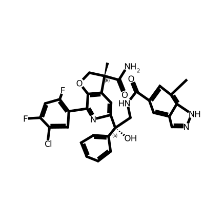 Cc1cc(C(=O)NC[C@@](O)(c2ccccc2)c2cc3c(c(-c4cc(Cl)c(F)cc4F)n2)OC[C@]3(C)C(N)=O)cc2cn[nH]c12